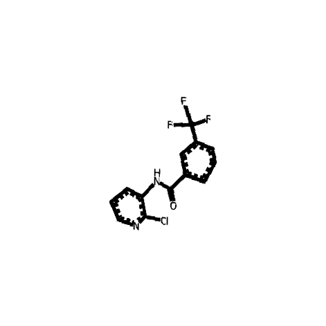 O=C(Nc1cccnc1Cl)c1cccc(C(F)(F)F)c1